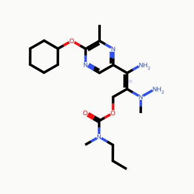 CCCN(C)C(=O)OC/C(=C(/N)c1cnc(OC2CCCCC2)c(C)n1)N(C)N